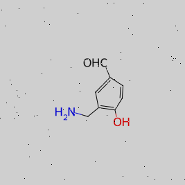 NCc1cc(C=O)ccc1O